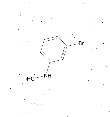 [CH]Nc1cccc(Br)c1